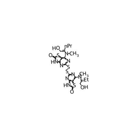 CCC[C@H](CO)N(C)c1nc(SSc2nc(N(C)[C@H](CC)CO)c3sc(=O)[nH]c3n2)nc2[nH]c(=O)sc12